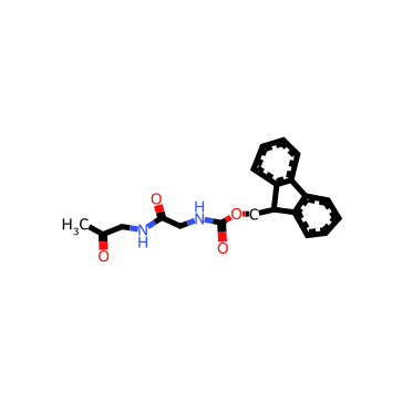 CC(=O)CNC(=O)CNC(=O)OCC1c2ccccc2-c2ccccc21